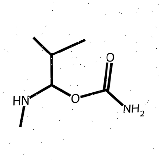 CNC(OC(N)=O)C(C)C